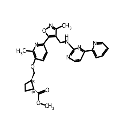 COC(=O)[C@@H]1CC[C@H]1COc1ccc(-c2onc(C)c2CNc2nccc(-c3ccccn3)n2)nc1C